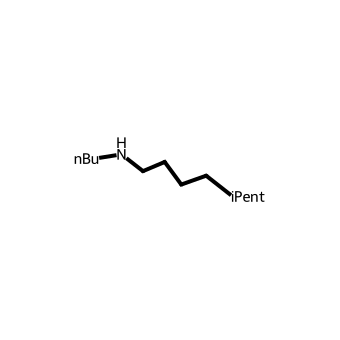 CCCCNCCCCC(C)CCC